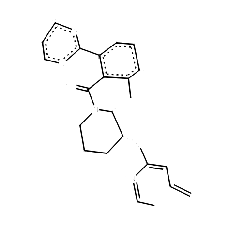 C=C/C=C(\N=C/C)O[C@@H]1CCCN(C(=O)c2c(F)cccc2-c2ncccn2)C1